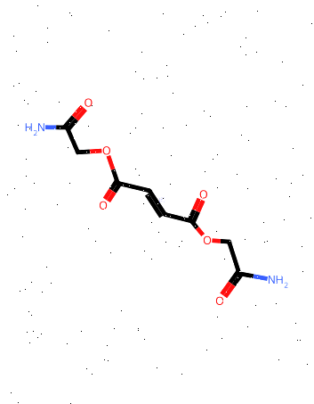 NC(=O)COC(=O)/C=C/C(=O)OCC(N)=O